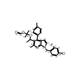 Cc1ccc(-c2c(C(C)OC(C)(C)OC=O)c(C)nc3c2ccn3Cc2ccc(Cl)cc2F)cc1